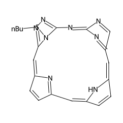 CCCCSn1c2cc3nc(cc4ccc(cc5nc(nc1nn2)N=C5)[nH]4)C=C3